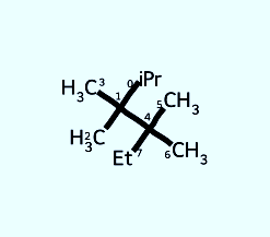 [CH2]C(C)C(C)(C)C(C)(C)CC